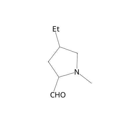 CCC1CC(C=O)N(C)C1